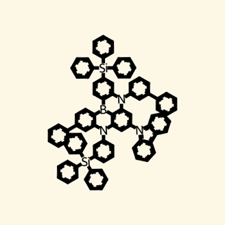 c1ccc(-c2cccc(N3c4cc([Si](c5ccccc5)(c5ccccc5)c5ccccc5)ccc4B4c5ccc(-c6ccccc6)cc5N(c5cccc([Si](c6ccccc6)(c6ccccc6)c6ccccc6)c5)c5cc(-n6c7ccccc7c7ccccc76)cc3c54)c2)cc1